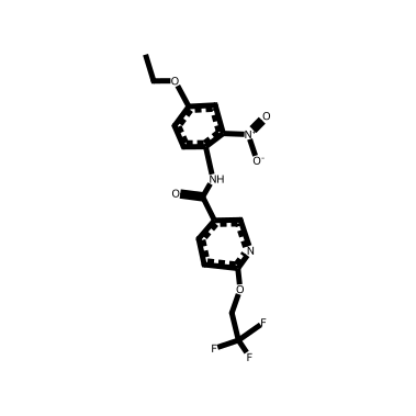 CCOc1ccc(NC(=O)c2ccc(OCC(F)(F)F)nc2)c([N+](=O)[O-])c1